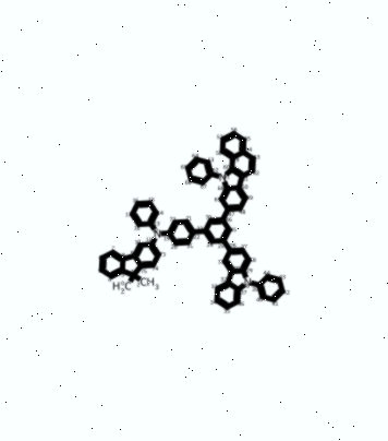 CC1(C)c2ccccc2-c2cc(N(c3ccccc3)c3ccc(-c4cc(-c5ccc6c(c5)c5ccccc5n6-c5ccccc5)cc(-c5ccc6c7ccc8ccccc8c7n(-c7ccccc7)c6c5)c4)cc3)ccc21